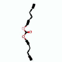 C#CCCC#COC(=O)OC#CCCC#C